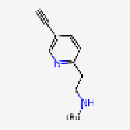 C#Cc1ccc(CCNC(C)(C)C)nc1